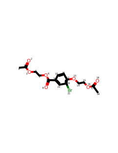 CC(=O)OCCOC(=O)c1ccc(OCCOC(C)=O)c(Br)c1